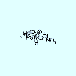 Nc1nsc2c1ccc1[nH]c(C(O)[C@H]3OCCN(c4cccc(C5CC5)n4)C3=O)nc(=O)c12